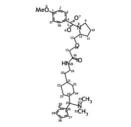 COc1ccc(S(=O)(=O)N2CCCC2COCC(=O)NCCC2CCC(C(c3cccs3)N(C)C)CC2)cc1